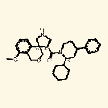 COc1cccc2c1COC[C@]21CNC[C@H]1C(=O)N1CCC(c2ccccc2)C[C@H]1C1CCCCC1